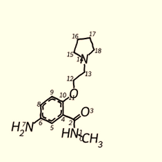 CNC(=O)c1cc(N)ccc1OCCN1CCCC1